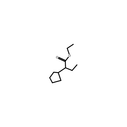 CCOC(=O)C(CC)C1CCCC1